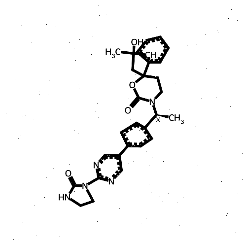 C[C@@H](c1ccc(-c2cnc(N3CCNC3=O)nc2)cc1)N1CCC(CC(C)(C)O)(c2ccccc2)OC1=O